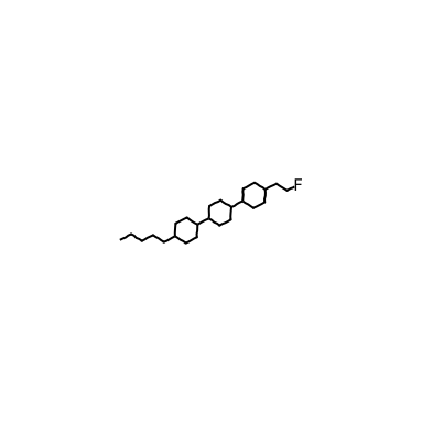 CCCCCC1CCC(C2CCC(C3CCC(CCF)CC3)CC2)CC1